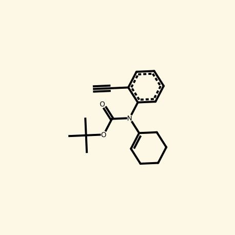 C#Cc1ccccc1N(C(=O)OC(C)(C)C)C1=CCCCC1